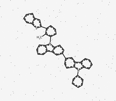 Cc1c(-c2cc3ccccc3s2)cccc1-n1c2ccccc2c2cc(-c3ccc4c(c3)c3ccccc3n4-c3ccccc3)ccc21